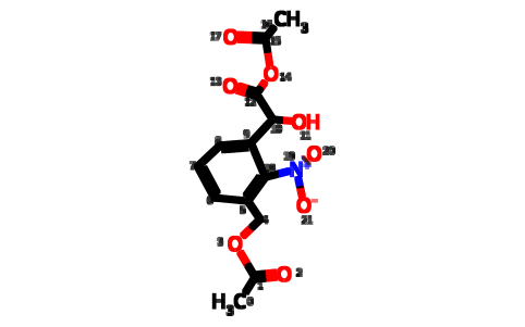 CC(=O)OCc1cccc(C(O)C(=O)OC(C)=O)c1[N+](=O)[O-]